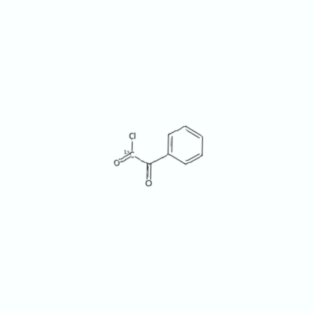 O=C(c1ccccc1)[13C](=O)Cl